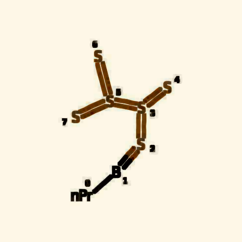 CCCB=S=S(=S)=S(=S)=S